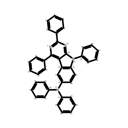 c1ccc(-c2nc(-c3ccccc3)c3c4cc(N(c5ccccc5)c5ccccc5)ccc4n(-c4ccccc4)c3n2)cc1